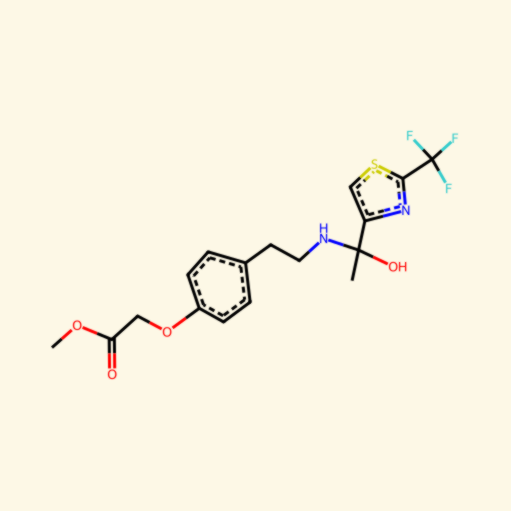 COC(=O)COc1ccc(CCNC(C)(O)c2csc(C(F)(F)F)n2)cc1